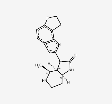 C[C@@H]1NCC[C@@H]2NC(=O)N(c3nc4c5c(ccc4s3)OCC5)[C@H]12